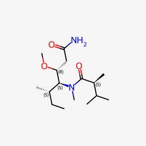 CC[C@H](C)[C@@H]([C@@H](CC(N)=O)OC)N(C)C(=O)[C@@H](C)C(C)C